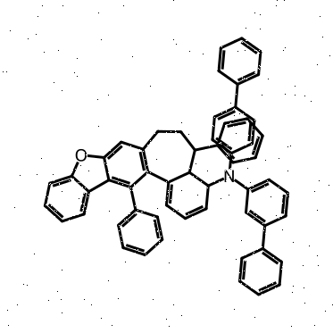 C1=CC(N(c2ccc(-c3ccccc3)cc2)c2cccc(-c3ccccc3)c2)C2C(=C1)c1c(cc3oc4ccccc4c3c1-c1ccccc1)CCC2c1ccccc1